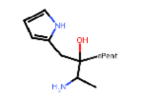 CCCCCC(O)(Cc1ccc[nH]1)C(C)N